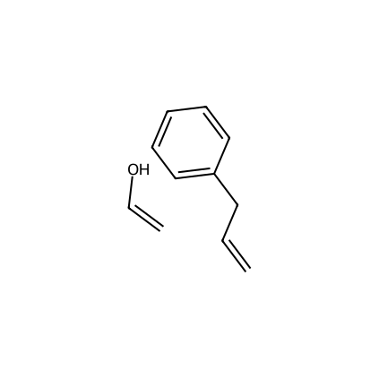 C=CCc1ccccc1.C=CO